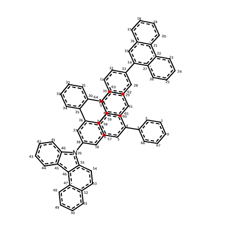 c1ccc(-c2cccc(N(c3ccc(-c4cc5ccccc5c5ccccc45)cc3)c3ccccc3-c3cc(-n4c5ccccc5c5c6ccccc6ccc54)ccc3-c3ccccc3)c2)cc1